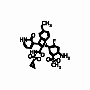 CCc1ccc2c(c1)c(-c1ccc[nH]c1=O)c(C(=O)NS(=O)(=O)C1CC1)n2-c1cc(S(C)(=O)=O)c(N)cc1F